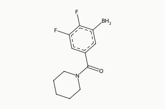 Bc1cc(C(=O)N2CCCCC2)cc(F)c1F